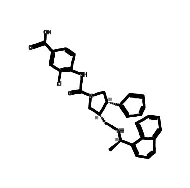 C[C@@H](NC[C@@H]1CN(C(=O)Nc2ccc(C(=O)O)cc2Cl)C[C@@H]1c1ccccc1)c1cccc2ccccc12